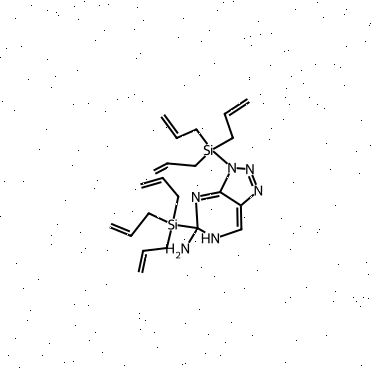 C=CC[Si](CC=C)(CC=C)n1nnc2c1=NC(N)([Si](CC=C)(CC=C)CC=C)NC=2